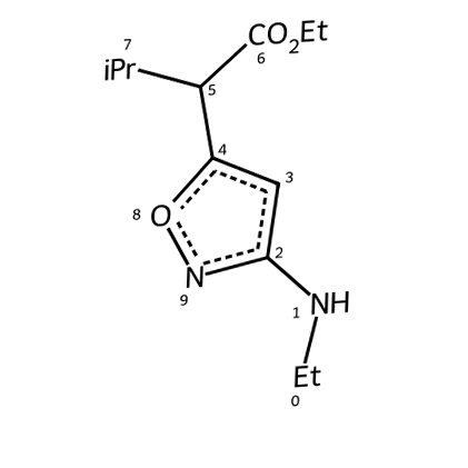 CCNc1cc(C(C(=O)OCC)C(C)C)on1